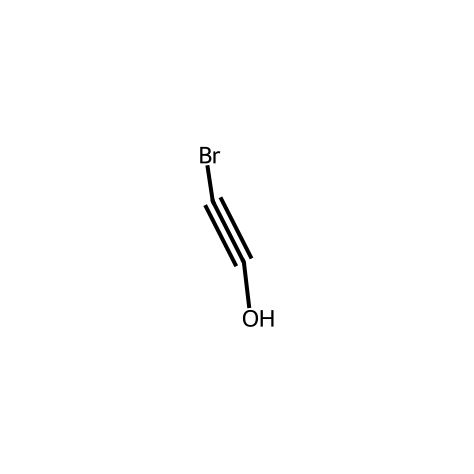 OC#CBr